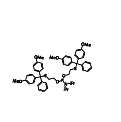 COc1ccc(C(SCCOP(OCCSC(c2ccccc2)(c2ccc(OC)cc2)c2ccc(OC)cc2)N(C(C)C)C(C)C)(c2ccccc2)c2ccc(OC)cc2)cc1